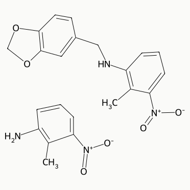 Cc1c(N)cccc1[N+](=O)[O-].Cc1c(NCc2ccc3c(c2)OCO3)cccc1[N+](=O)[O-]